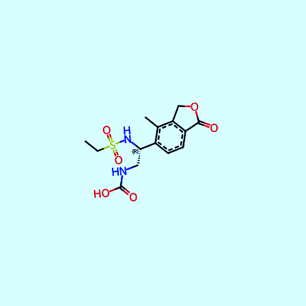 CCS(=O)(=O)N[C@@H](CNC(=O)O)c1ccc2c(c1C)COC2=O